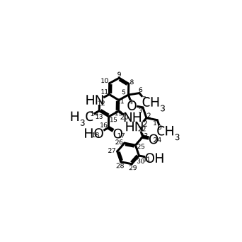 CCC(COC1(CC)C=CC=C2NC(C)=C(C(=O)O)C(N)=C21)NC(=O)c1ccccc1O